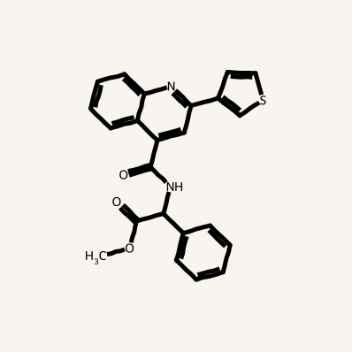 COC(=O)C(NC(=O)c1cc(-c2ccsc2)nc2ccccc12)c1ccccc1